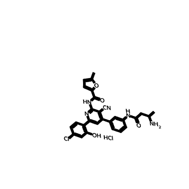 Cc1ccc(C(=O)Nc2nc(-c3ccc(Cl)cc3O)cc(-c3cccc(NC(=O)CC(C)N)c3)c2C#N)o1.Cl